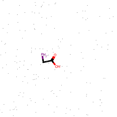 O=C(O)[CH]P